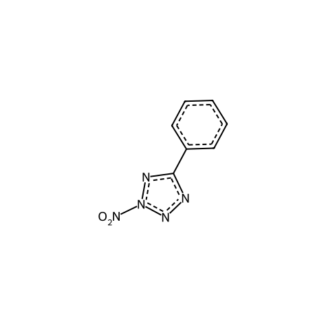 O=[N+]([O-])n1nnc(-c2ccccc2)n1